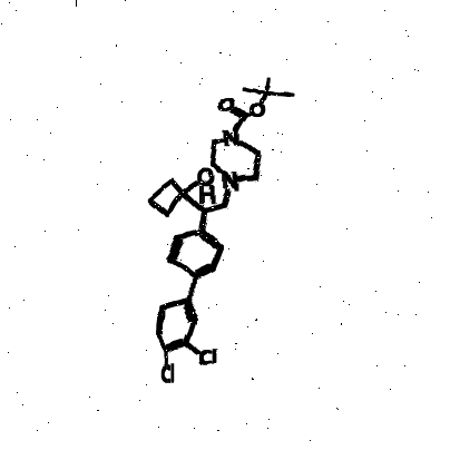 CC(C)(C)OC(=O)N1CCN(CC(c2ccc(-c3ccc(Cl)c(Cl)c3)cc2)C2(O)CCC2)CC1